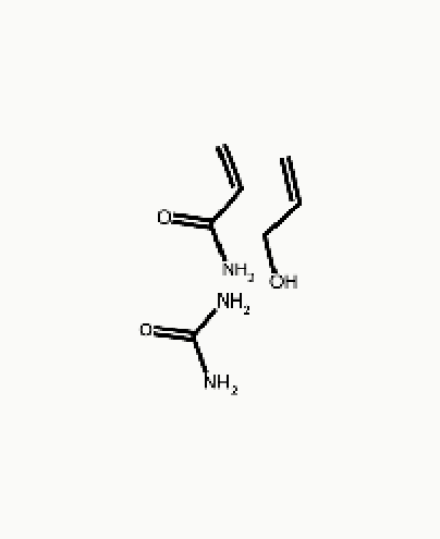 C=CC(N)=O.C=CCO.NC(N)=O